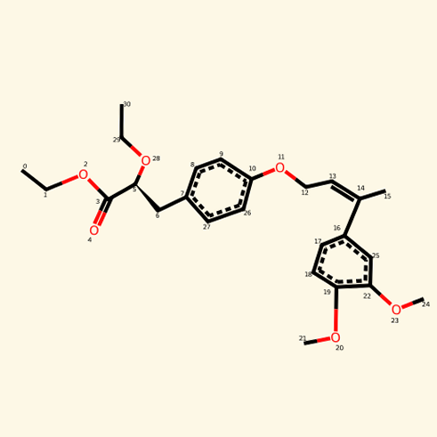 CCOC(=O)[C@H](Cc1ccc(OCC=C(C)c2ccc(OC)c(OC)c2)cc1)OCC